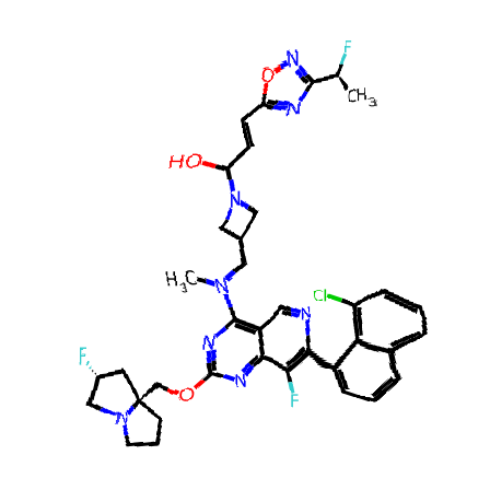 C[C@H](F)c1noc(/C=C/C(O)N2CC(CN(C)c3nc(OC[C@@]45CCCN4C[C@H](F)C5)nc4c(F)c(-c5cccc6cccc(Cl)c56)ncc34)C2)n1